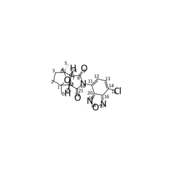 CC12CC[C@](C)(O1)[C@@H]1C(=O)N(c3ccc(Cl)c4nonc34)C(=O)[C@@H]12